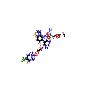 CCCOCCNS(=O)(=O)Nc1ncnc(OCCOc2ncc(Br)cn2)c1-c1ccc2scnc2c1